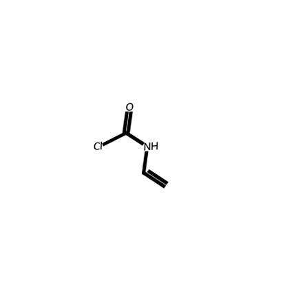 C=CNC(=O)Cl